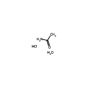 CC(N)=O.Cl.O